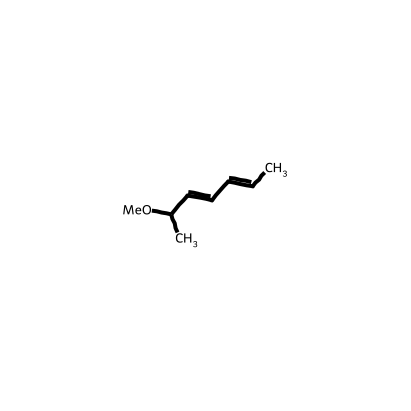 CC=CC=CC(C)OC